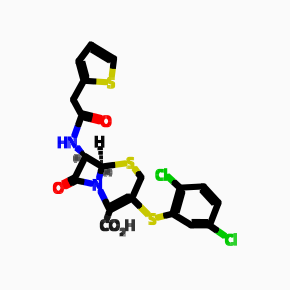 O=C(Cc1cccs1)N[C@@H]1C(=O)N2C(C(=O)O)=C(Sc3cc(Cl)ccc3Cl)CS[C@H]12